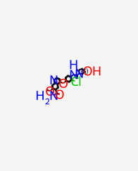 C=C(Nc1ccc(Oc2ccnc3cc(OC)c(C(N)=O)cc23)cc1Cl)N1CC[C@H](O)C1